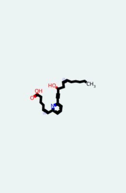 CCCCC/C=C\CC(O)C#Cc1cccc(/C=C\CCCC(=O)O)n1